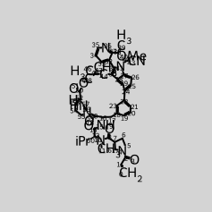 C=CC(=O)N1CCC(C(=O)N(C)[C@H](C(=O)N[C@H]2Cc3cccc(c3)-c3ccc4c(c3)c(c(-c3cccnc3[C@H](C)OC)n4CC#N)CC(C)(C)COC(=O)[C@@H]3CCCN(N3)C2=O)C(C)C)C1